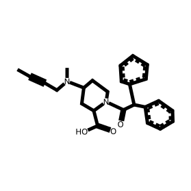 CC#CCN(C)C1CCN(C(=O)C(c2ccccc2)c2ccccc2)C(C(=O)O)C1